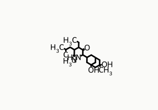 CCC(C(=O)C(N)C1CC2CC(C)(O)CC(O)(C2)C1)C(C#N)CC(C)C